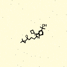 CC(C)(O)c1ccc2nc(CCCC(=O)C3CC3(C)C)n(C3CCC3)c2c1